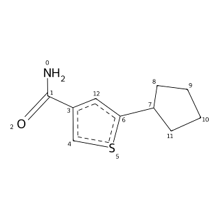 NC(=O)c1csc(C2CCCC2)c1